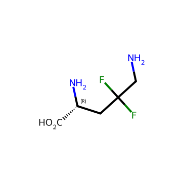 NCC(F)(F)C[C@@H](N)C(=O)O